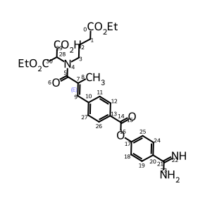 CCOC(=O)CCCN(C(=O)/C(C)=C/c1ccc(C(=O)Oc2ccc(C(=N)N)cc2)cc1)C(C(=O)O)C(=O)OCC